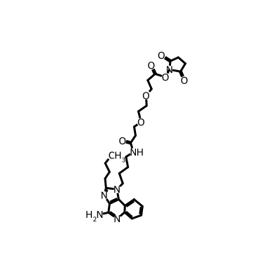 CCCCc1nc2c(N)nc3ccccc3c2n1CCCCNC(=O)CCOCCOCCC(=O)ON1C(=O)CCC1=O